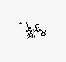 CC(=O)NCCNC(=O)c1nc(-c2nn(Cc3ccccc3F)c3ncccc23)nc2c1C(C)(C)C(=O)N2